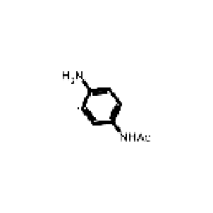 CC(=O)Nc1c[c]c(N)cc1